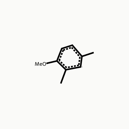 COc1ccc(C)[c]c1C